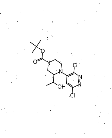 CC(O)C1CN(C(=O)OC(C)(C)C)CCN1c1cc(Cl)nnc1Cl